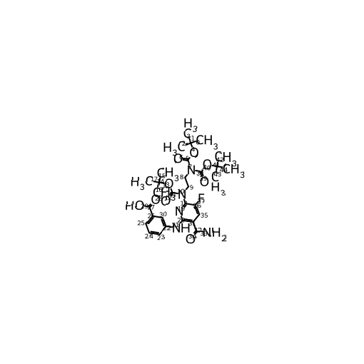 CC(C)(C)OC(=O)N(CCN(C(=O)OC(C)(C)C)c1nc(Nc2cccc(C(=O)O)c2)c(C(N)=O)cc1F)C(=O)OC(C)(C)C